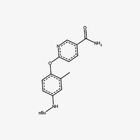 CCCCNc1ccc(Oc2ccc(C(N)=O)cn2)c(C)c1